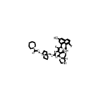 C#Cc1c(F)ccc2cc(O)cc(-c3nc4c5c(nc(OC[C@@]67CCCN6[C@H](COC(=O)N6CCCCCC6)CC7)nc5c3F)N3CCNC[C@H]3CO4)c12